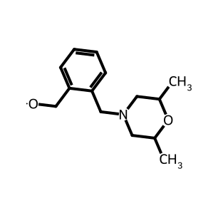 CC1CN(Cc2ccccc2C[O])CC(C)O1